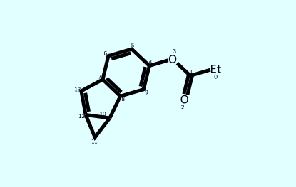 CCC(=O)Oc1ccc2c(c1)C1CC1=C2